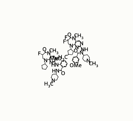 COc1cccc(C(=O)N(Nc2ncc3c(n2)N(C2CC[C@@H](C)C2)CC(F)(F)C(=O)N3C)C2CCN(C)CC2)c1.COc1cccc(C(=O)NC2CCN(C)CC2)c1Nc1ncc2c(n1)N(C1CCCC1)CC(F)C(=O)N2C